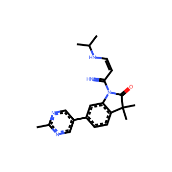 Cc1ncc(-c2ccc3c(c2)N(C(=N)/C=C\NC(C)C)C(=O)C3(C)C)cn1